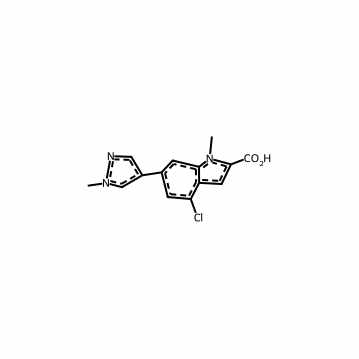 Cn1cc(-c2cc(Cl)c3cc(C(=O)O)n(C)c3c2)cn1